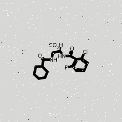 O=C(N[C@@H](CNC(=O)C1CCCCC1)C(=O)O)c1c(F)cccc1Cl